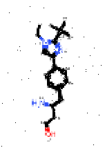 CCn1cc(-c2ccc(CC(N)CCO)cc2)nc1C(C)(C)C